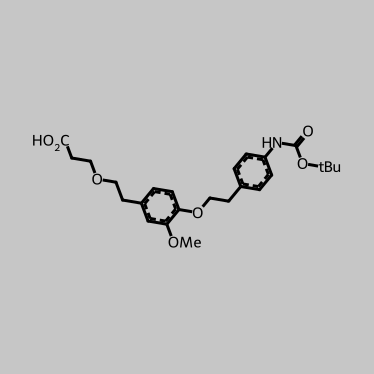 COc1cc(CCOCCC(=O)O)ccc1OCCc1ccc(NC(=O)OC(C)(C)C)cc1